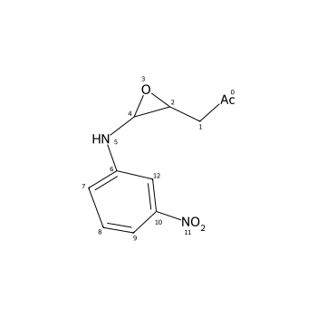 CC(=O)CC1OC1Nc1cccc([N+](=O)[O-])c1